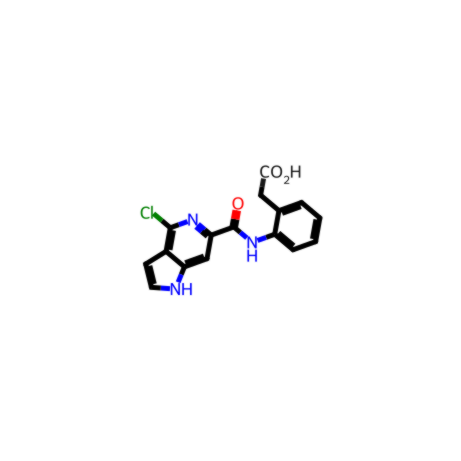 O=C(O)Cc1ccccc1NC(=O)c1cc2[nH]ccc2c(Cl)n1